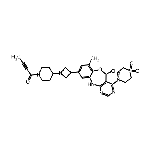 CC#CC(=O)N1CCC(N2CC(c3cc(C)c4c(c3)Nc3ncnc(N5CCS(=O)(=O)CC5)c3[C@H](C)O4)C2)CC1